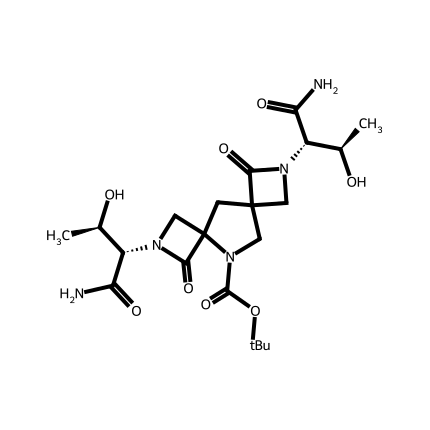 C[C@@H](O)[C@@H](C(N)=O)N1CC2(CN(C(=O)OC(C)(C)C)C3(CN([C@H](C(N)=O)[C@@H](C)O)C3=O)C2)C1=O